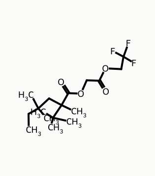 CCC(C)(C)CC(C)(C(=O)OCC(=O)OCC(F)(F)F)C(C)(C)C